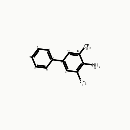 Nc1c(C(F)(F)F)cc(-c2ccccc2)cc1C(F)(F)F